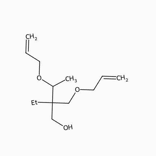 C=CCOCC(CC)(CO)C(C)OCC=C